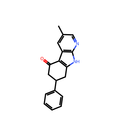 Cc1cnc2[nH]c3c(c2c1)C(=O)CC(c1ccccc1)C3